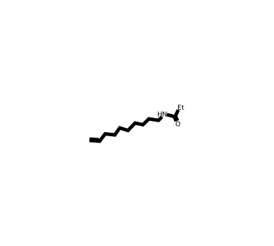 C=CCCCCCCCCNC(=O)CC